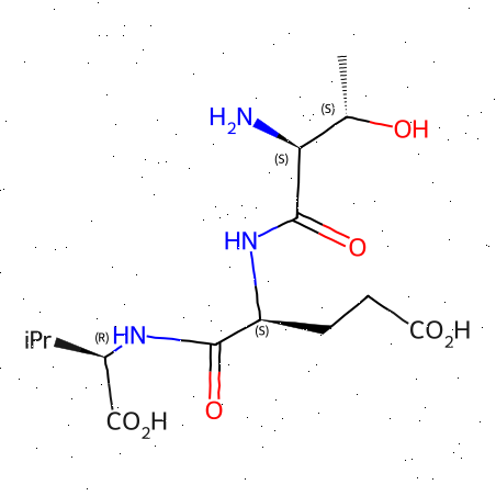 CC(C)[C@@H](NC(=O)[C@H](CCC(=O)O)NC(=O)[C@@H](N)[C@H](C)O)C(=O)O